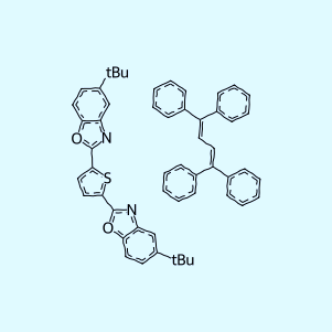 C(C=C(c1ccccc1)c1ccccc1)=C(c1ccccc1)c1ccccc1.CC(C)(C)c1ccc2oc(-c3ccc(-c4nc5cc(C(C)(C)C)ccc5o4)s3)nc2c1